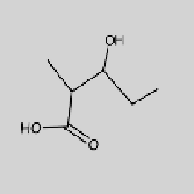 CCC(O)C(C)C(=O)O